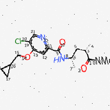 CNC(=O)[C@@H](C)C[C@H](C)NC(=O)c1cc(OCC2CC2)c(Cl)cn1